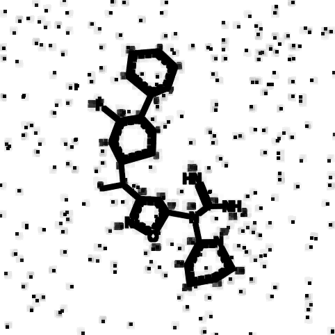 CC(c1ccc(-c2ccccc2)c(F)c1)c1cc(N(C(=N)N)c2ccccn2)on1